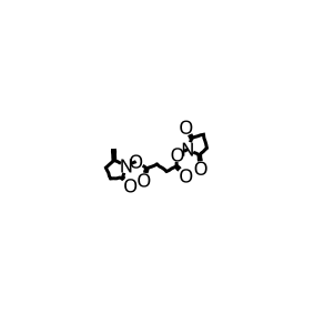 C=C1CCC(=O)N1OC(=O)CCC(=O)ON1C(=O)CCC1=O